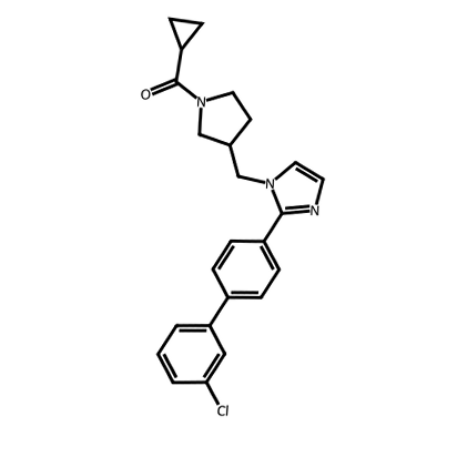 O=C(C1CC1)N1CCC(Cn2ccnc2-c2ccc(-c3cccc(Cl)c3)cc2)C1